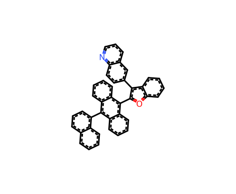 c1cnc2ccc(-c3c(-c4c5ccccc5c(-c5cccc6ccccc56)c5ccccc45)oc4ccccc34)cc2c1